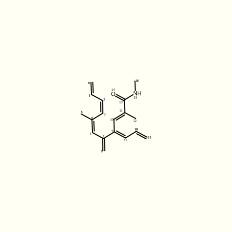 C=C/C=C\C(C)=C/C(=C)C(/C=C(\C)C(=O)NC)=C/C=C